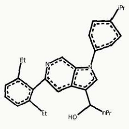 CCCC(O)c1cn(-c2ccc(C(C)C)cc2)c2cnc(-c3c(CC)cccc3CC)cc12